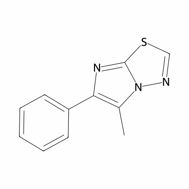 Cc1c(-c2ccccc2)nc2scnn12